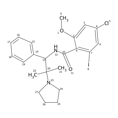 COc1cc(Cl)cc(I)c1C(=O)NC(c1ccccc1)C(C)(C)N1CCCC1